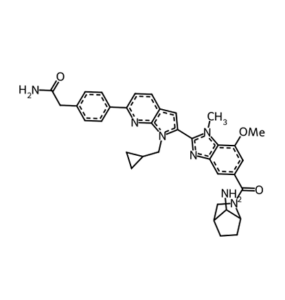 COc1cc(C(=O)N2CC3CCC2C3N)cc2nc(-c3cc4ccc(-c5ccc(CC(N)=O)cc5)nc4n3CC3CC3)n(C)c12